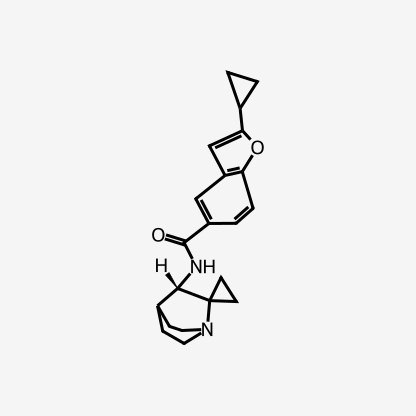 O=C(N[C@H]1C2CCN(CC2)C12CC2)c1ccc2oc(C3CC3)cc2c1